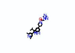 Cc1cc(-c2[nH]c3ccc(C4CCN(C(=O)Cn5cncn5)CC4)cc3c2C(C)C)cc(C)n1